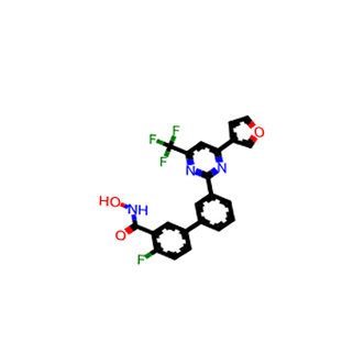 O=C(NO)c1cc(-c2cccc(-c3nc(-c4ccoc4)cc(C(F)(F)F)n3)c2)ccc1F